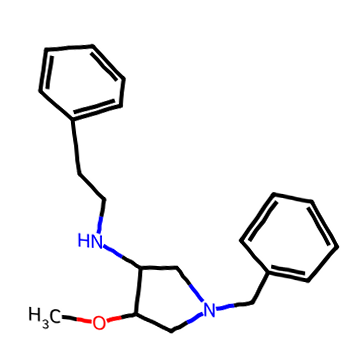 COC1CN(Cc2ccccc2)CC1NCCc1ccccc1